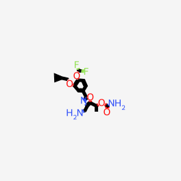 CC(OC(N)=O)c1oc(-c2ccc(OC(F)F)c(OCC3CC3)c2)nc1CN